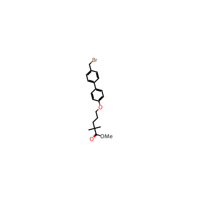 COC(=O)C(C)(C)CCCOc1ccc(-c2ccc(CBr)cc2)cc1